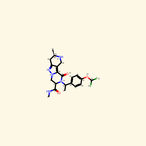 CNC(=O)C1Cn2nc3c(c2C(=O)N1C(C)c1ccc(OC(F)F)cc1)CN[C@H](C)C3